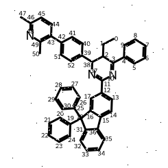 CCC1C(c2ccccc2)=NC(c2ccc3c(c2)C(c2ccccc2)(c2ccccc2)c2ccccc2-3)=NC1c1ccc(-c2ccc(C)nc2C)cc1